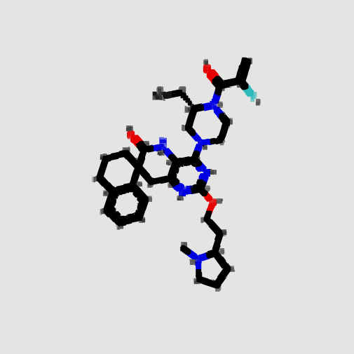 C=C(F)C(=O)N1CCN(c2nc(OCCC3CCCN3C)nc3c2NC(=O)C2(CCCc4ccccc42)C3)C[C@@H]1CC#N